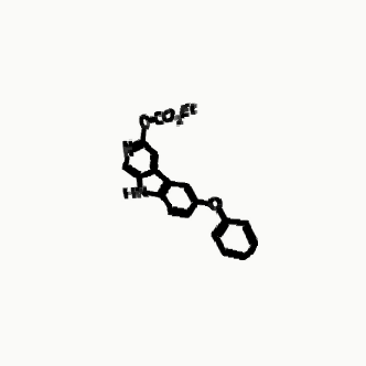 CCOC(=O)Oc1cc2c(cn1)[nH]c1ccc(Oc3ccccc3)cc12